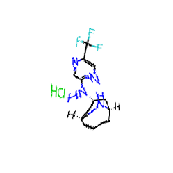 Cl.FC(F)(F)c1cnc(N[C@@H]2C[C@H]3CC[C@@H]2N3)cn1